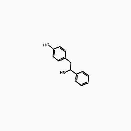 Oc1ccc(CC(S)c2ccccc2)cc1